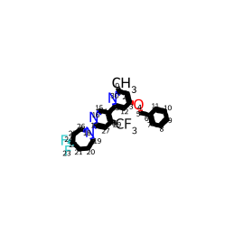 Cc1cc(OCc2ccccc2)cc(-c2cnc(N3CCCC(F)(F)CC3)cc2C(F)(F)F)n1